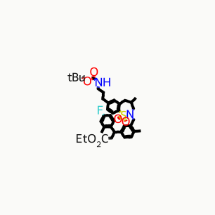 CCOC(=O)CC(c1ccc(C)c(CN2CC(C)Cc3cc(CCCNC(=O)OC(C)(C)C)ccc3S2(=O)=O)c1)c1ccc(F)cc1C